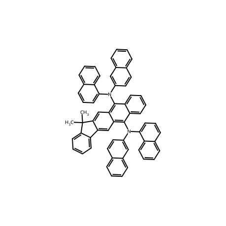 CC1(C)c2ccccc2-c2cc3c(N(c4ccc5ccccc5c4)c4cccc5ccccc45)c4ccccc4c(N(c4ccc5ccccc5c4)c4cccc5ccccc45)c3cc21